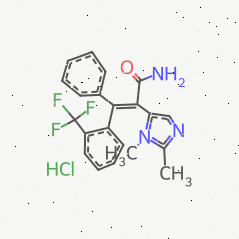 Cc1ncc(/C(C(N)=O)=C(/c2ccccc2)c2ccccc2C(F)(F)F)n1C.Cl